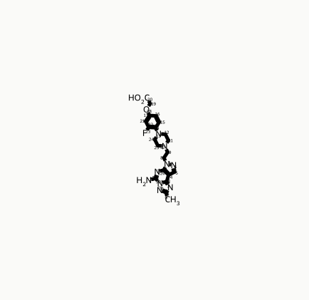 Cc1nc2c3cnn(CCN4CCN(c5ccc(OCC(=O)O)cc5F)CC4)c3nc(N)n2n1